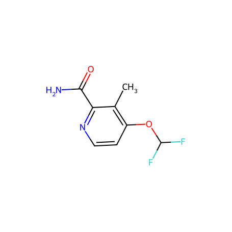 Cc1c(OC(F)F)ccnc1C(N)=O